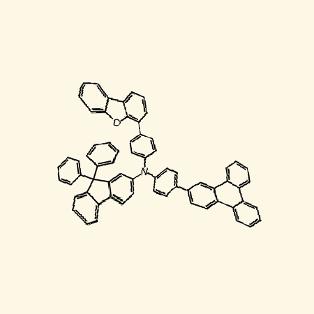 c1ccc(C2(c3ccccc3)c3ccccc3-c3ccc(N(c4ccc(-c5ccc6c7ccccc7c7ccccc7c6c5)cc4)c4ccc(-c5cccc6c5oc5ccccc56)cc4)cc32)cc1